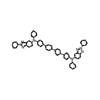 c1ccc(N(c2ccc(-c3ccc(-c4ccc(-c5ccc(N(c6ccccc6)c6ccc7nn(-c8ccccc8)nc7c6)cc5)cc4)cc3)cc2)c2ccc3nn(-c4ccccc4)nc3c2)cc1